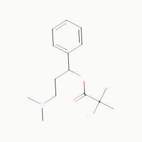 CCC(C)(C)C(=O)OC(CCN(C)C)c1ccccc1